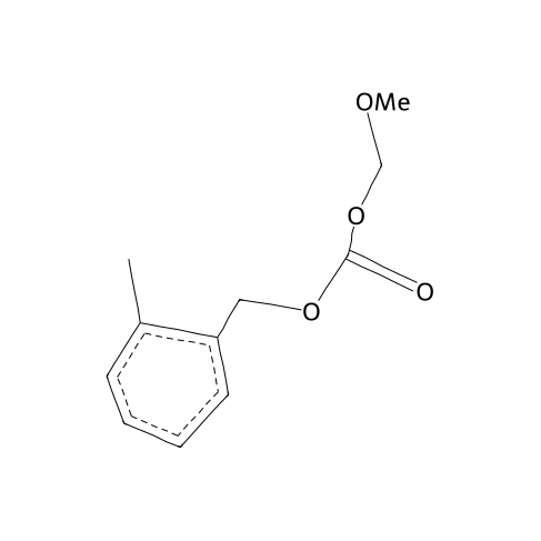 COCOC(=O)OCc1ccccc1C